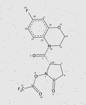 O=C([C@@H]1CCC(=O)N1OC(=O)C(F)(F)F)N1CCOc2cc(F)ccc21